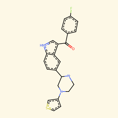 O=C(c1ccc(F)cc1)c1c[nH]c2ccc(C3CN(c4ccsc4)CC[N]3)cc12